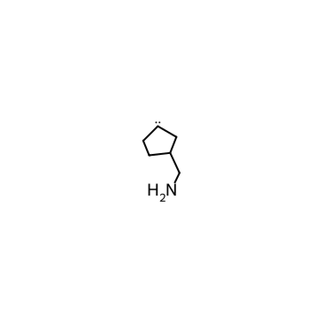 NCC1C[C]CC1